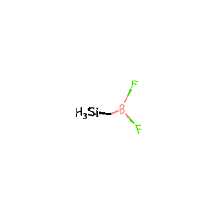 FB(F)[SiH3]